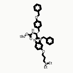 CCN(CC)CCCOc1ccc2nc([C@@H](Cc3ccc(OCc4ccccc4)cc3)NC(=O)OC(C)(C)C)n(Cc3ccccc3)c2c1